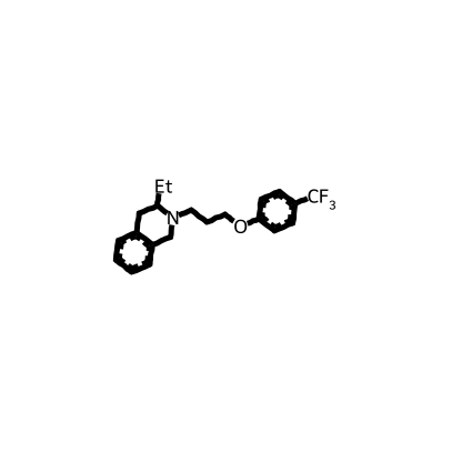 CCC1Cc2ccccc2CN1CCCOc1ccc(C(F)(F)F)cc1